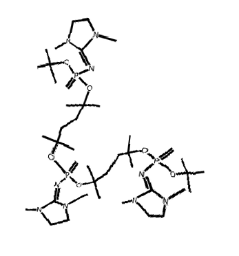 C=P(N=C1N(C)CCN1C)(OC(C)(C)C)OC(C)(C)CCC(C)(C)OP(=C)(N=C1N(C)CCN1C)OC(C)(C)CCC(C)(C)OP(=C)(N=C1N(C)CCN1C)OC(C)(C)C